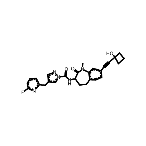 CN1C(=O)C(NC(=O)n2cc(Cc3cccc(F)n3)cn2)CCc2ccc(C#CC3(O)CCC3)cc21